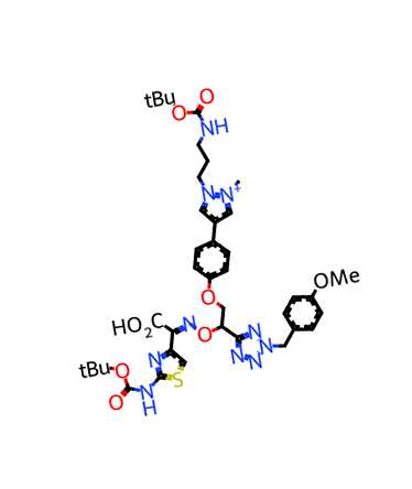 COc1ccc(Cn2nnc(C(COc3ccc(-c4cn(CCCNC(=O)OC(C)(C)C)[n+](C)c4)cc3)ON=C(C(=O)O)c3csc(NC(=O)OC(C)(C)C)n3)n2)cc1